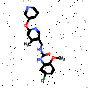 COc1ccc(Cl)cc1NC(=O)NCc1cnc(Oc2cccnc2)cc1C